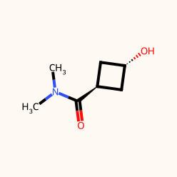 CN(C)C(=O)[C@H]1C[C@H](O)C1